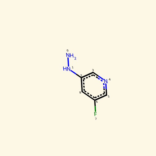 NNc1cncc(F)c1